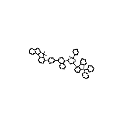 CC1(C)c2ccc3ccccc3c2-c2cccc(-c3ccc(-c4ccc(-c5cc(-c6cccc7c6-c6ccccc6C7(c6ccccc6)c6ccccc6)nc(-c6ccccc6)n5)c5ccccc45)cc3)c21